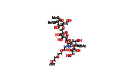 CCCOCCOCCOCCNC(=O)[C@@]1(OCC2OOC(CO[C@@H]3C(CO)O[C@@H](OC)C(NC(C)=O)C3O)C(O)[C@H]2O)CC(O)[C@@H](NC(C)=O)C([C@H](O)[C@H](O)CO)O1